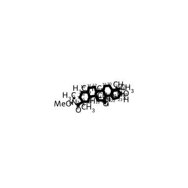 CON(C)C(=O)[C@@]1(C)CC[C@]2(C)CC[C@]3(C)C(=CC(=O)[C@@H]4[C@@]5(C)CC[C@@H](O)C(C)(C)C5CC[C@]43C)[C@@H]2C1